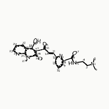 CN(C)CCNC(=O)c1cccc(/C=C/C(=O)c2c(O)c3cccnc3n(C)c2=O)n1